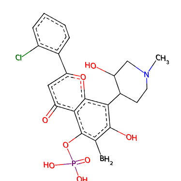 Bc1c(O)c(C2CCN(C)CC2O)c2oc(-c3ccccc3Cl)cc(=O)c2c1OP(=O)(O)O